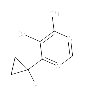 Oc1ncnc(C2(F)CC2)c1Br